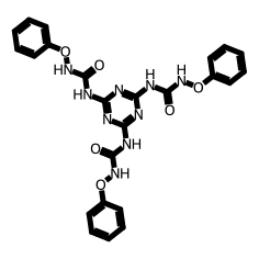 O=C(NOc1ccccc1)Nc1nc(NC(=O)NOc2ccccc2)nc(NC(=O)NOc2ccccc2)n1